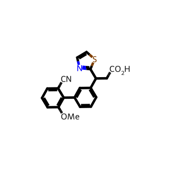 COc1cccc(C#N)c1-c1cccc(C(CC(=O)O)c2nccs2)c1